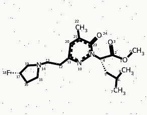 COC(=O)[C@H](CC(C)C)n1nc(CCN2CC[C@H](F)C2)cc(C)c1=O